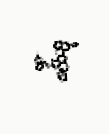 Oc1cc(-c2cc3nc(OCC45CCCN4CC(F)C5)nc4c3c(n2)OCC2C3CCC(CN42)N3)c2c(F)cccc2c1